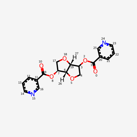 O=C(OC1CO[C@@H]2[C@@H](OC(=O)c3cccnc3)CO[C@H]12)c1cccnc1